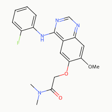 COc1cc2ncnc(Nc3ccccc3F)c2cc1OCC(=O)N(C)C